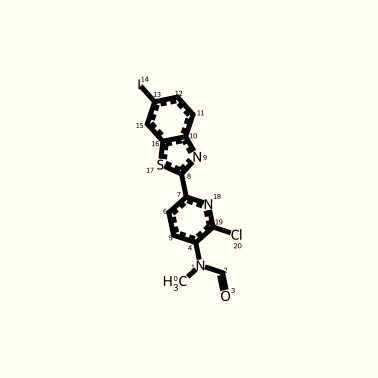 CN(C=O)c1ccc(-c2nc3ccc(I)cc3s2)nc1Cl